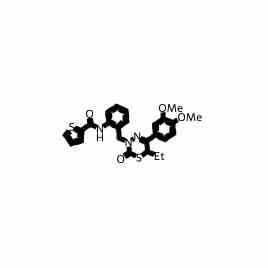 CCC1SC(=O)N(Cc2ccccc2NC(=O)c2cccs2)N=C1c1ccc(OC)c(OC)c1